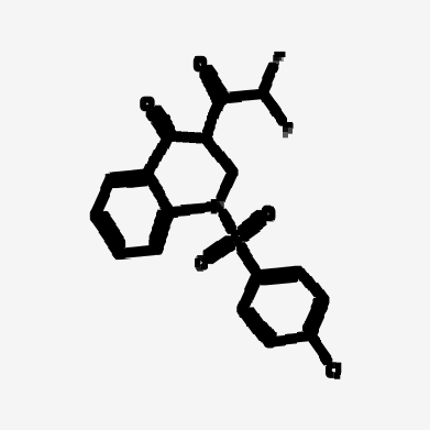 O=C1c2ccccc2N(S(=O)(=O)c2ccc(Cl)cc2)CC1C(=O)C(F)F